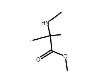 [CH2]C(C)(NC)C(=O)OC